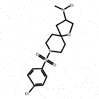 CCc1ccc(S(=O)(=O)N2CCC3(CC2)CC(N(C)CC)CO3)cc1